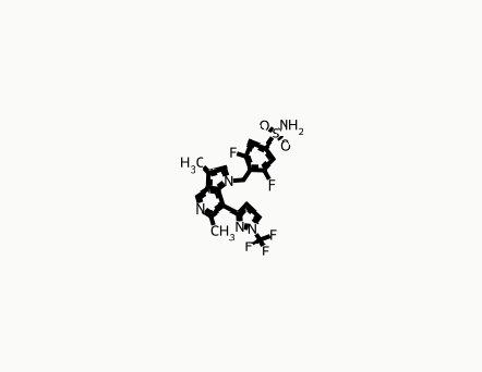 Cc1ncc2c(C)cn(Cc3c(F)cc(S(N)(=O)=O)cc3F)c2c1-c1ccn(C(F)(F)F)n1